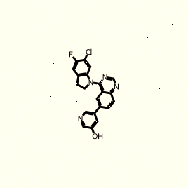 Oc1cncc(-c2ccc3ncnc(N4CCc5cc(F)c(Cl)cc54)c3c2)c1